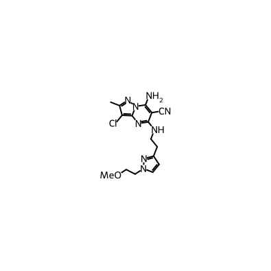 COCCn1ccc(CCNc2nc3c(Cl)c(C)nn3c(N)c2C#N)n1